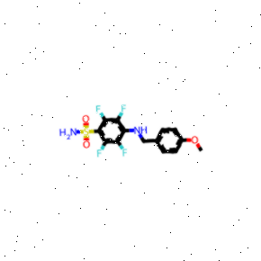 COc1ccc(CNc2c(F)c(F)c(S(N)(=O)=O)c(F)c2F)cc1